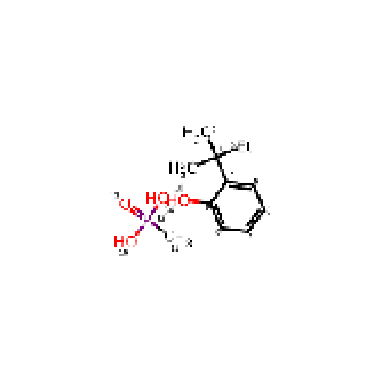 CCC(C)(C)c1ccccc1O.CP(=O)(O)O